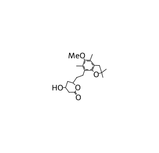 COc1c(C)c(CCC2CC(O)CC(=O)O2)c2c(c1C)CC(C)(C)O2